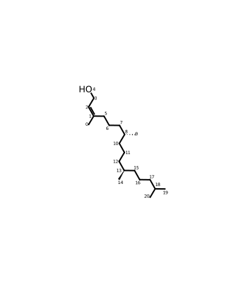 C/C(=C/CO)CCC[C@H](C)CCC[C@H](C)CCCC(C)C